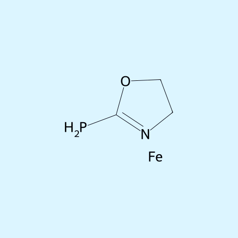 PC1=NCCO1.[Fe]